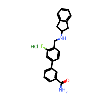 Cl.NC(=O)c1cccc(-c2ccc(CNC3Cc4ccccc4C3)c(F)c2)c1